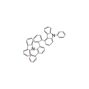 c1ccc(-c2cccc(-c3ccccc3-c3cccc4c3c3ccccc3n4-c3ccccc3)c2-n2c3ccccc3c3ccccc32)cc1